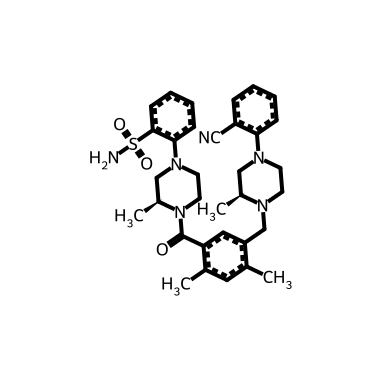 Cc1cc(C)c(C(=O)N2CCN(c3ccccc3S(N)(=O)=O)C[C@@H]2C)cc1CN1CCN(c2ccccc2C#N)C[C@@H]1C